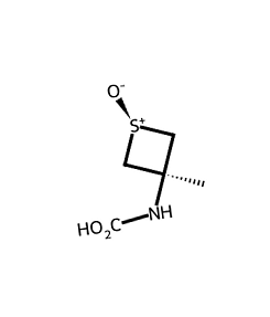 C[C@]1(NC(=O)O)C[S@@+]([O-])C1